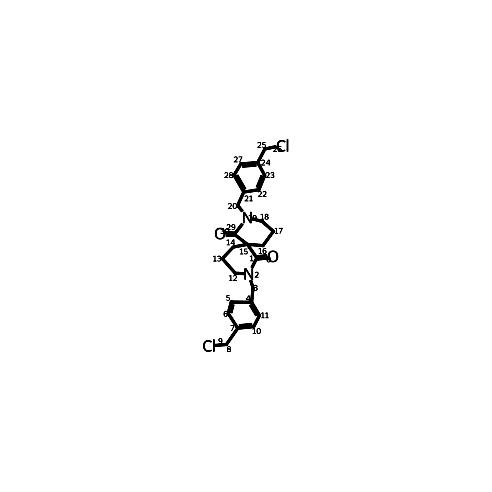 O=C1N(Cc2ccc(CCl)cc2)CCCC12CCCN(Cc1ccc(CCl)cc1)C2=O